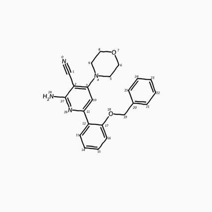 N#Cc1c(N2CCOCC2)cc(-c2ccccc2OCc2ccccc2)nc1N